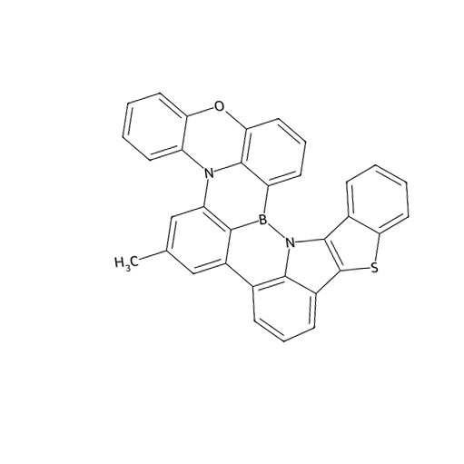 Cc1cc2c3c(c1)N1c4ccccc4Oc4cccc(c41)B3n1c3c-2cccc3c2sc3ccccc3c21